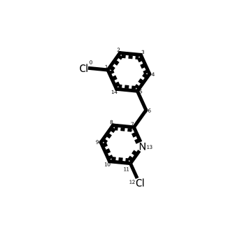 Clc1cccc([CH]c2cccc(Cl)n2)c1